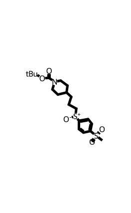 CC(C)(C)OC(=O)N1CCC(CCC[S+]([O-])c2ccc(S(C)(=O)=O)cc2)CC1